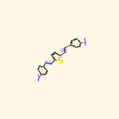 Ic1ccc(/C=C/c2ccc(/C=C/c3ccc(I)cc3)s2)cc1